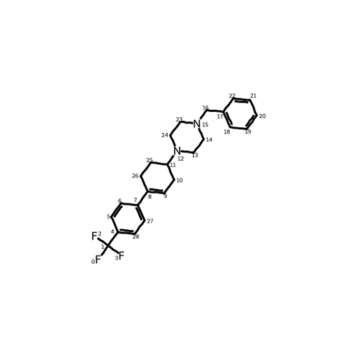 FC(F)(F)c1ccc(C2=CCC(N3CCN(Cc4ccccc4)CC3)CC2)cc1